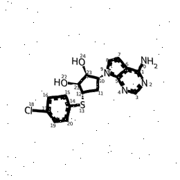 Nc1ncnc2c1ccn2[C@@H]1C[C@H](Sc2ccc(Cl)cc2)[C@@H](O)[C@H]1O